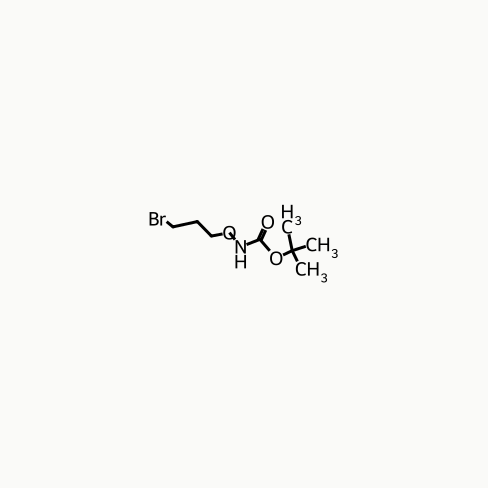 CC(C)(C)OC(=O)NOCCCBr